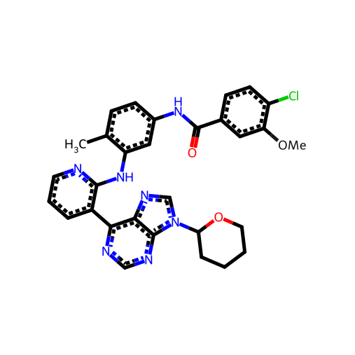 COc1cc(C(=O)Nc2ccc(C)c(Nc3ncccc3-c3ncnc4c3ncn4C3CCCCO3)c2)ccc1Cl